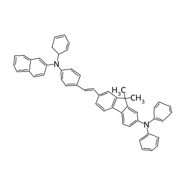 CC1(C)c2cc(/C=C/c3ccc(N(c4ccc5ccccc5c4)C4C=CC=CC4)cc3)ccc2-c2ccc(N(c3ccccc3)c3ccccc3)cc21